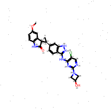 COc1ccc2c(c1)[C@]1(C[C@H]1c1ccc3c(Nc4nc(N5CC(O)C5)ncc4Cl)n[nH]c3c1)C(=O)N2